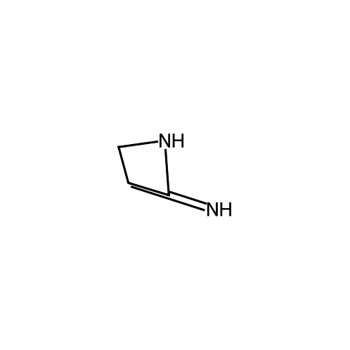 N=C1CCN1